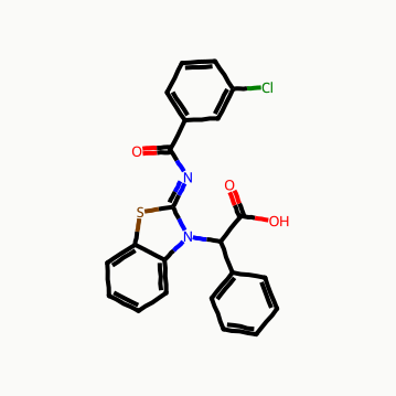 O=C(N=c1sc2ccccc2n1C(C(=O)O)c1ccccc1)c1cccc(Cl)c1